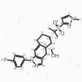 Cn1ccc(S(=O)(=O)C(C)(C)[C@H]2CCC3=Cc4c(cnn4-c4ccc(F)cc4)C[C@]3(CO)C2)n1